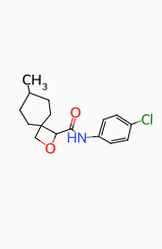 CC1CCC2(CC1)COC2C(=O)Nc1ccc(Cl)cc1